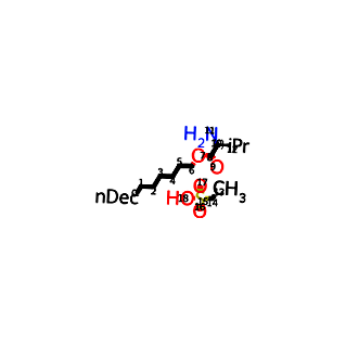 CCCCCCCCCCCCCCCCOC(=O)[C@@H](N)C(C)C.CCS(=O)(=O)O